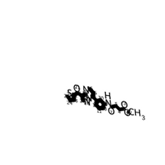 COC(=O)CCC(=O)Nc1cccc(-c2ccnc3c(C(=O)c4cccs4)cnn23)c1